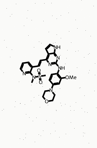 COc1cc(N2CCOCC2)ccc1Nc1nc(/C=C/c2cccnc2N(C)S(C)(=O)=O)c2cc[nH]c2n1